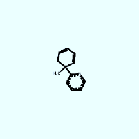 CC1(c2ccccn2)C=CC=CC1